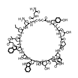 CCCC[C@H]1C(=O)N(C)[C@@H](CCCC)C(=O)N[C@@H](CCN)C(=O)N[C@H](C(=O)NCC(N)=O)CSCC(=O)N[C@@H](Cc2ccc(O)cc2)C(=O)N(C)[C@@H](C)C(=O)N[C@@H](CC(=O)O)C(=O)N2CCC[C@H]2C(=O)N[C@@H](Cc2cnc[nH]2)C(=O)N[C@@H](CCC(=O)O)C(=O)N2CC(O)C[C@H]2C(=O)N[C@@H](Cc2c[nH]c3ccccc23)C(=O)N[C@@H](CO)C(=O)N[C@@H](Cc2cn(CC(=O)O)c3ccccc23)C(=O)N1C